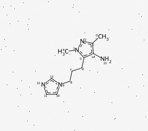 Cc1nn(C)c([CH]CCn2ccnc2)c1N